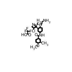 COc1ccc(C(=O)Nc2ccc(OCCN)c(-c3c(Cl)cnn3C)c2)cc1C.O=C(O)C(F)(F)F